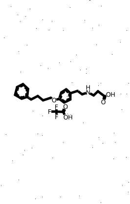 O=C(O)C(F)(F)F.O=C(O)CCNCCc1ccc(OCCCCc2ccccc2)cc1